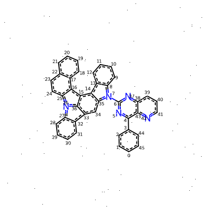 c1ccc(-c2nc(-n3c4ccccc4c4c5c6c7ccccc7ccc6n6c7ccccc7c(cc43)c56)nc3cccnc23)cc1